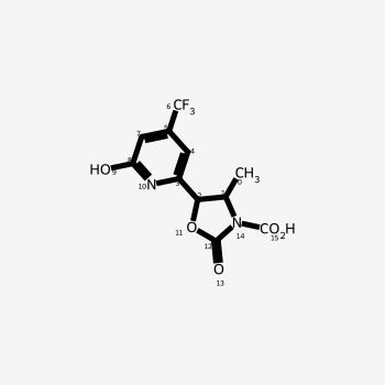 CC1C(c2cc(C(F)(F)F)cc(O)n2)OC(=O)N1C(=O)O